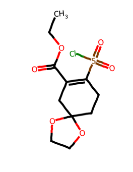 CCOC(=O)C1=C(S(=O)(=O)Cl)CCC2(C1)OCCO2